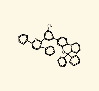 N#Cc1cc(-c2ccc3c(c2)OC(c2ccccc2)(c2ccccc2)c2ccccc2-3)cc(-c2nc(-c3ccccc3)ccc2-c2ccccc2)c1